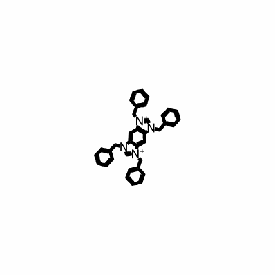 c1ccc(Cn2c[n+](Cc3ccccc3)c3cc4c(cc32)[n+](Cc2ccccc2)cn4Cc2ccccc2)cc1